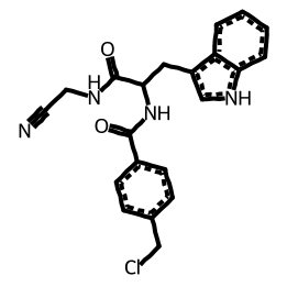 N#CCNC(=O)C(Cc1c[nH]c2ccccc12)NC(=O)c1ccc(CCl)cc1